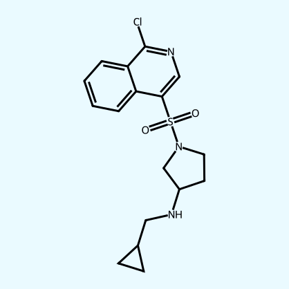 O=S(=O)(c1cnc(Cl)c2ccccc12)N1CCC(NCC2CC2)C1